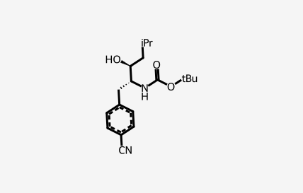 CC(C)C[C@H](O)[C@@H](Cc1ccc(C#N)cc1)NC(=O)OC(C)(C)C